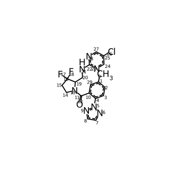 Cc1ccc(-n2nccn2)c(C(=O)N2CCC(F)(F)C2CNc2ncc(Cl)cn2)c1